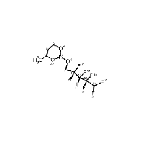 CC1CCOP(OCC(F)(F)C(F)(F)C(F)(F)C(F)F)O1